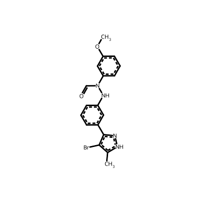 COc1cccc(N(C=O)Nc2cccc(-c3n[nH]c(C)c3Br)c2)c1